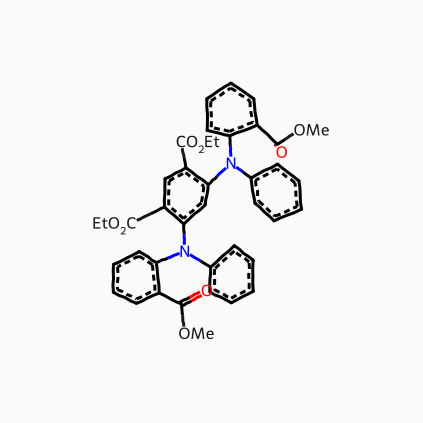 CCOC(=O)c1cc(C(=O)OCC)c(N(c2ccccc2)c2ccccc2C(=O)OC)cc1N(c1ccccc1)c1ccccc1C(=O)OC